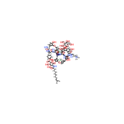 CN[C@H]1C(=O)N[C@@H]2Cc3ccc(cc3)Oc3cc4cc(c3O[C@@H]3O[C@H](C(=O)O)[C@@H](O)[C@H](O)[C@H]3NC(=O)CCCCCCCCC(C)C)Oc3ccc(cc3Cl)[C@@H](O)[C@@H]3NC(=O)[C@H](NC(=O)[C@@H]4NC(=O)[C@@H](NC2=O)c2cc(cc(O)c2Cl)Oc2cc1ccc2O)c1ccc(O)c(c1)-c1c(OC2O[C@H](CO)[C@@H](O)[C@H](O)[C@@H]2O)cc(O)cc1[C@@H](C(=O)NCCCN(C)C)NC3=O